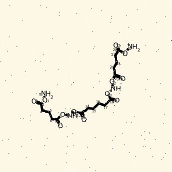 NOC(=O)CCCC(=O)ONOC(=O)CCCCC(=O)ONOC(=O)CCCC(=O)ON